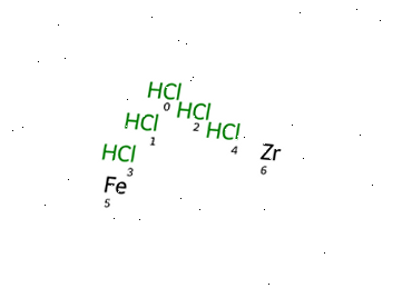 Cl.Cl.Cl.Cl.Cl.[Fe].[Zr]